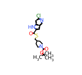 CC(C)(C)OC(=O)N1CCC(CSC(=O)c2cc3cnc(Cl)cc3[nH]2)CC1